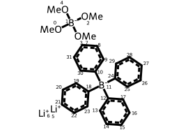 CO[B-](OC)(OC)OC.[Li+].[Li+].c1ccc([B-](c2ccccc2)(c2ccccc2)c2ccccc2)cc1